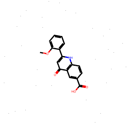 COc1ccccc1-c1cc(=O)c2cc(C(=O)O)ccc2[nH]1